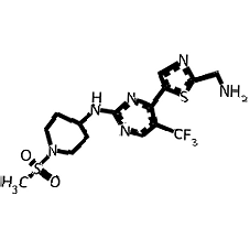 CS(=O)(=O)N1CCC(Nc2ncc(C(F)(F)F)c(-c3cnc(CN)s3)n2)CC1